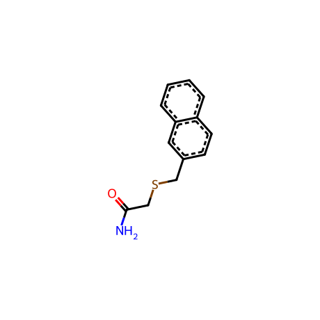 NC(=O)CSCc1ccc2ccccc2c1